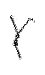 CCCCCCCCCCCCCCCCN(CCCCCCCCCCCCCCCC)c1ccc(C=Cc2ccc(S(=O)(=O)CCCCCCCCCCCCO)cc2)cc1